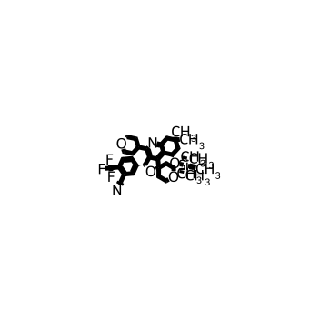 CC1(C)Cc2nc(C3CCOCC3)c3c(c2[C@@H](O[Si](C)(C)C(C)(C)C)C1)C1(CCOCC1)O[C@@H]3c1ccc(C(F)(F)F)c(C#N)c1